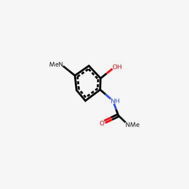 CNC(=O)Nc1ccc(NC)cc1O